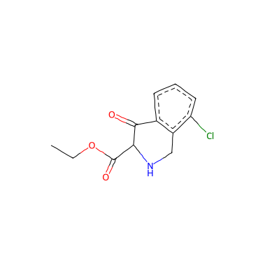 CCOC(=O)C1NCc2c(Cl)cccc2C1=O